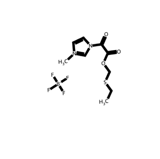 CCSCOC(=O)C(=O)n1cc[n+](C)c1.F[B-](F)(F)F